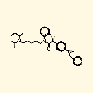 CC1CCCC(C)N1CCCCCN1C(=O)C(c2ccc(NCc3ccccc3)cc2)Oc2ccccc21